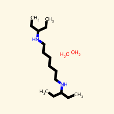 CCC(CC)NCCCCCCNC(CC)CC.O.O